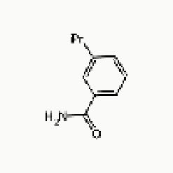 CC(C)c1cccc(C(N)=O)c1